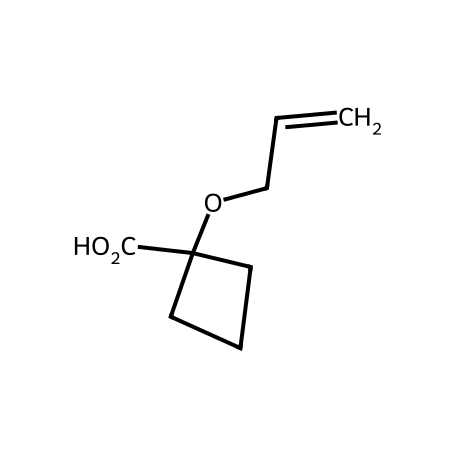 C=CCOC1(C(=O)O)CCC1